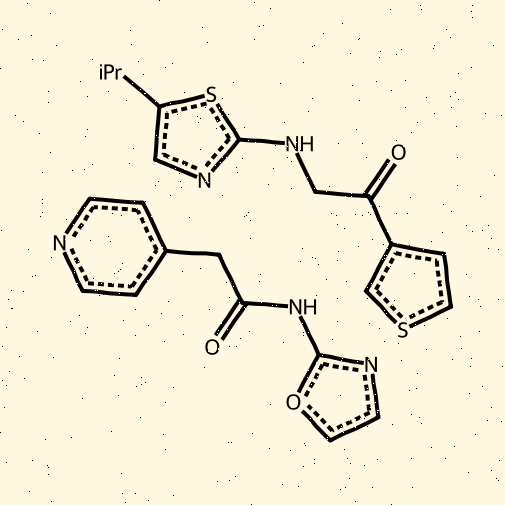 CC(C)c1cnc(NCC(=O)c2ccsc2)s1.O=C(Cc1ccncc1)Nc1ncco1